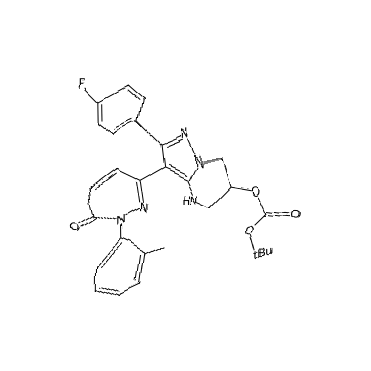 Cc1ccccc1-n1nc(-c2c(-c3ccc(F)cc3)nn3c2NCC(OC(=O)OC(C)(C)C)C3)ccc1=O